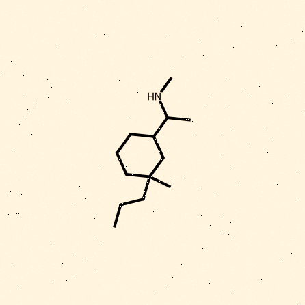 CCCC1(C)CCCC(C(C)NC)C1